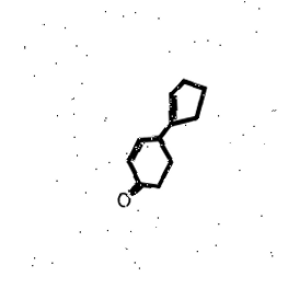 O=C1C=CC(C2=CCCC2)CC1